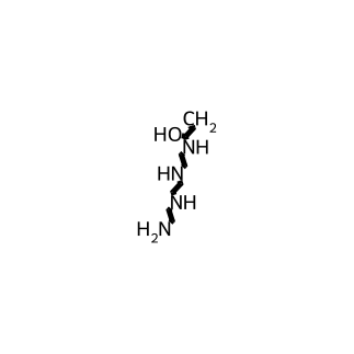 C=CC(O)NCCNCCNCCN